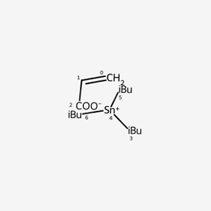 C=CC(=O)[O-].CC[CH](C)[Sn+]([CH](C)CC)[CH](C)CC